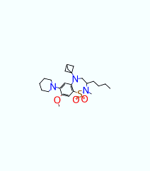 CCCCC1CN(C23CC(C2)C3)c2cc(N3CCCCC3)c(OC)cc2S(=O)(=O)N1C